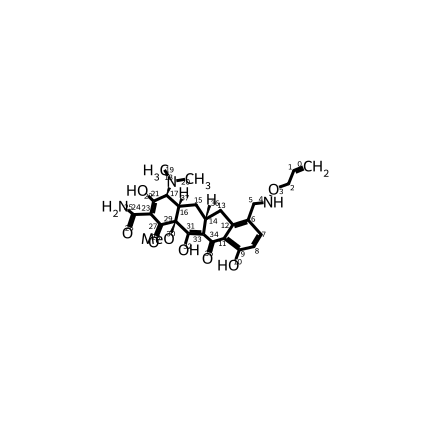 C=CCONCc1ccc(O)c2c1C[C@H]1C[C@H]3[C@H](N(C)C)C(O)=C(C(N)=O)C(=O)[C@@]3(OC)C(O)=C1C2=O